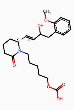 COc1ccccc1CC(O)/C=C/[C@H]1CCCC(=O)N1CCCCCOC(=O)O